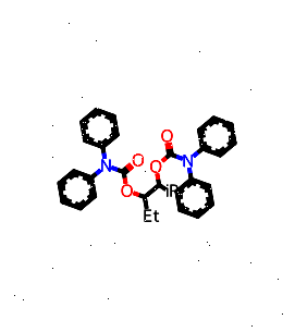 CCC(OC(=O)N(c1ccccc1)c1ccccc1)C(OC(=O)N(c1ccccc1)c1ccccc1)C(C)C